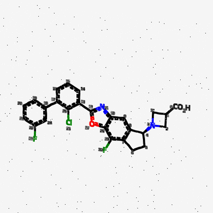 O=C(O)C1CN([C@H]2CCc3c2cc2nc(-c4cccc(-c5cccc(F)c5)c4Cl)oc2c3F)C1